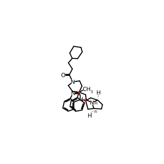 Cc1nc2ccccc2n1[C@H]1C[C@H]2CC[C@@H](C1)N2CCC1(c2ccccc2)CCN(C(=O)CCC2CCCCC2)CC1